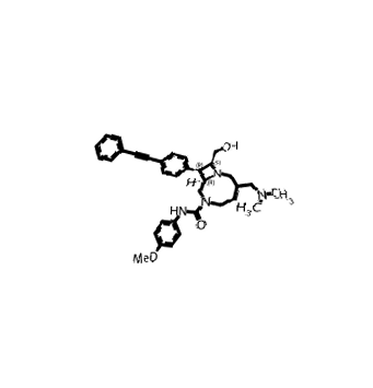 COc1ccc(NC(=O)N2CCC(CN(C)C)CN3[C@H](CO)[C@H](c4ccc(C#Cc5ccccc5)cc4)[C@@H]3C2)cc1